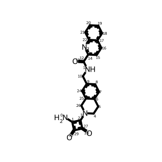 Nc1c(N2CCc3ccc(CNC(=O)c4ccc5ccccc5n4)cc3C2)c(=O)c1=O